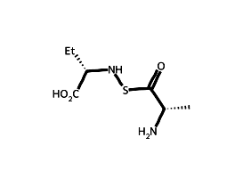 CC[C@H](NSC(=O)[C@H](C)N)C(=O)O